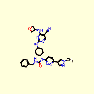 Cn1cc(-c2ccc(N(C(=O)NCc3ccccc3)[C@H]3CC[C@H](Nc4ncc(C#N)c(NC5COC5)n4)CC3)nn2)cn1